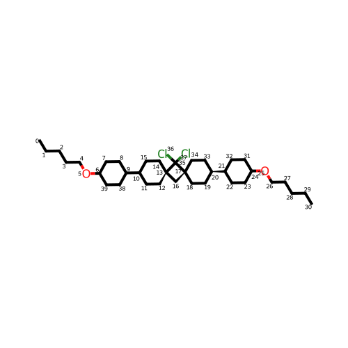 CCCCCOC1CCC(C2CC[C@]3(CC2)C[C@@]2(CC[C@H](C4CCC(OCCCCC)CC4)CC2)C3(Cl)Cl)CC1